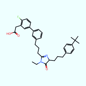 CCN1C(=O)C(CCCc2ccc(C(C)(C)C)cc2)N=C1CCCc1cccc(-c2ccc(F)c(CC(=O)O)c2)c1